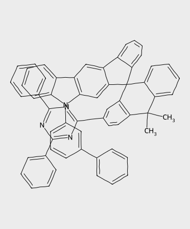 CC1(C)c2ccccc2C2(c3ccccc3-c3cc4c5ccccc5n(-c5cccc(-c6ccccc6)c5)c4cc32)c2cc(-c3nc(-c4ccccc4)nc(-c4ccccc4)n3)ccc21